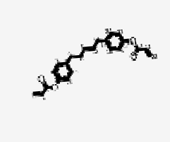 C=CC(=O)Oc1ccc(CCCCCc2ccc(OC(=O)C=C)cc2)cc1